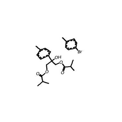 Cc1ccc(Br)cc1.Cc1ccc(C(O)(COC(=O)C(C)C)COC(=O)C(C)C)cc1